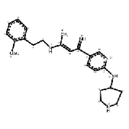 COc1ccccc1CCN/C(C)=C/C(=N)c1ccc(NC2CCNCC2)nc1